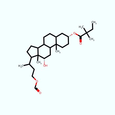 CCC(C)(C)C(=O)O[C@@H]1CCC2(C)C(CCC3C2C[C@H](O)C2(C)C(C(C)CCOC=O)CCC32)C1